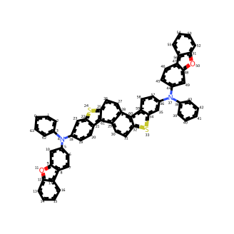 c1ccc(N(c2ccc3c(c2)oc2ccccc23)c2ccc3c(c2)sc2ccc4c(ccc5sc6cc(N(c7ccccc7)c7ccc8c(c7)oc7ccccc78)ccc6c54)c23)cc1